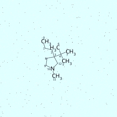 CCCC1(C(C)(C)C)CCN(C)C1